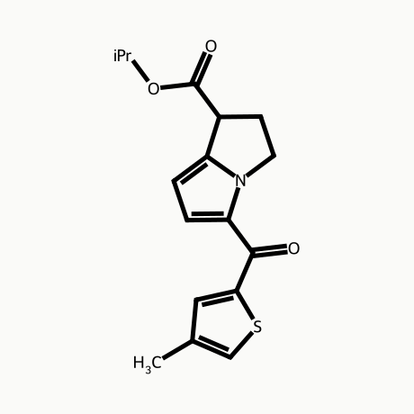 Cc1csc(C(=O)c2ccc3n2CCC3C(=O)OC(C)C)c1